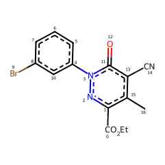 CCOC(=O)c1nn(-c2cccc(Br)c2)c(=O)c(C#N)c1C